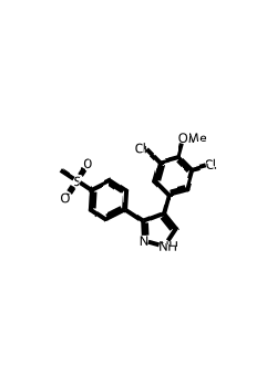 COc1c(Cl)cc(-c2c[nH]nc2-c2ccc(S(C)(=O)=O)cc2)cc1Cl